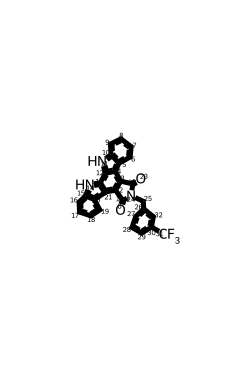 O=C1c2c(c3c4ccccc4[nH]c3c3[nH]c4ccccc4c23)C(=O)N1Cc1cccc(C(F)(F)F)c1